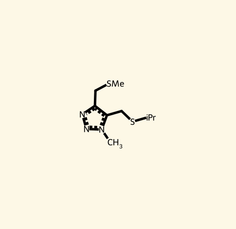 CSCc1nnn(C)c1CSC(C)C